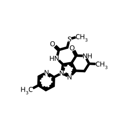 CSCC(=O)Nc1c2c(nn1-c1ccc(C)cn1)CC(C)NC2=O